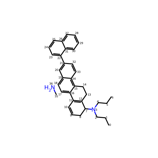 CCCN(CCC)C1CC=CC2=C1CCc1c2ccc2cc(-c3cccc4ccccc34)ccc12.CN